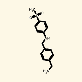 CS(=O)(=O)c1ccc(NCc2ccc(CN)cc2)cc1